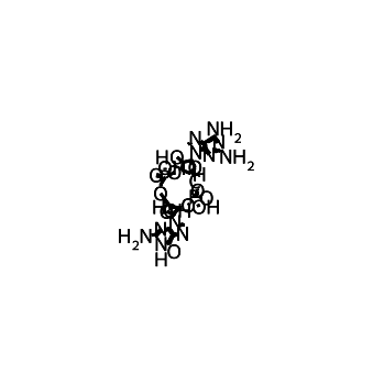 Nc1nc(N)c2ncn([C@@H]3O[C@@H]4COP(=O)(O)OC5C(O)[C@@H](OCP(=O)(O)OC4C3O)O[C@H]5n3cnc4c(=O)[nH]c(N)nc43)c2n1